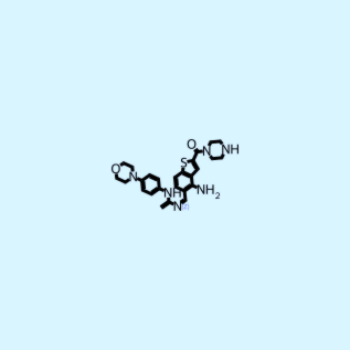 C=C(/N=C\c1ccc2sc(C(=O)N3CCNCC3)cc2c1N)Nc1ccc(N2CCOCC2)cc1